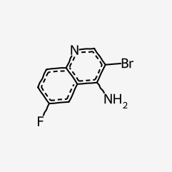 Nc1c(Br)cnc2ccc(F)cc12